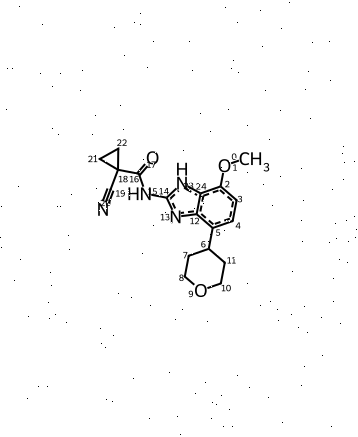 COc1ccc(C2CCOCC2)c2nc(NC(=O)C3(C#N)CC3)[nH]c12